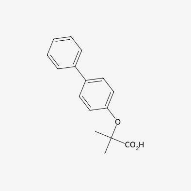 CC(C)(Oc1ccc(-c2ccccc2)cc1)C(=O)O